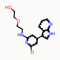 OCCOCCNc1cc(-c2c[nH]c3ncccc23)cc(Cl)n1